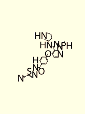 CPn1nc(N[C@@H]2CCCNC2)c2c(Oc3ccc(C(=O)Nc4ncc(C#N)s4)cc3)ccnc21